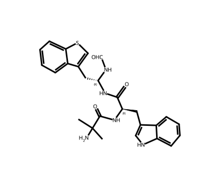 CC(C)(N)C(=O)N[C@H](Cc1c[nH]c2ccccc12)C(=O)N[C@H](Cc1csc2ccccc12)NC=O